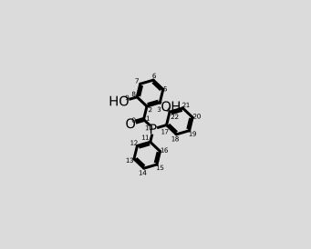 O=C(c1c(O)cccc1O)P(c1ccccc1)c1ccccc1